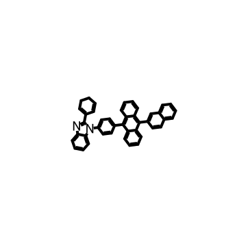 C1=CC(c2nc3ccccc3n2-c2ccc(-c3c4ccccc4c(-c4ccc5ccccc5c4)c4ccccc34)cc2)=CCC1